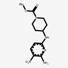 CC(C)(C)OC(=O)N1CCC(Nc2ccc([N+](=O)[O-])c(N)n2)CC1